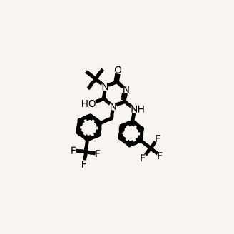 CC(C)(C)N1C(=O)N=C(Nc2cccc(C(F)(F)F)c2)N(Cc2cccc(C(F)(F)F)c2)C1O